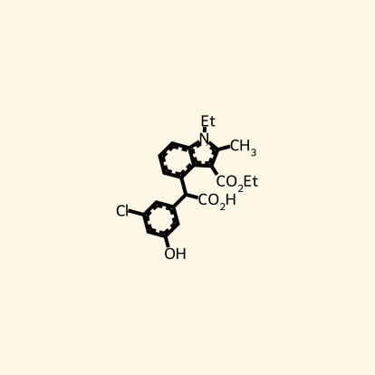 CCOC(=O)c1c(C)n(CC)c2cccc(C(C(=O)O)c3cc(O)cc(Cl)c3)c12